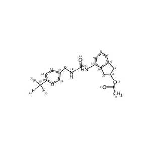 CC(=O)OC1Cc2cccc(NC(=O)NCc3ccc(C(F)(F)F)cc3)c2C1